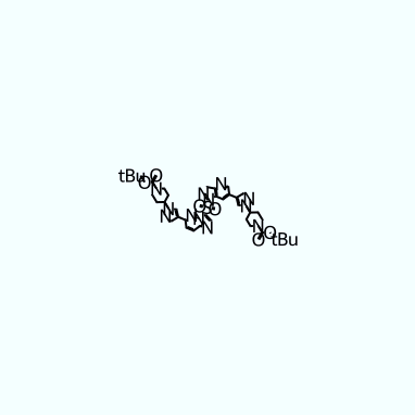 CC(C)(C)OC(=O)N1CCC(n2cc(-c3cnc4cnn(S(=O)(=O)c5cnc6ccc(-c7cnn(C8CCN(C(=O)OC(C)(C)C)CC8)c7)nn56)c4c3)cn2)CC1